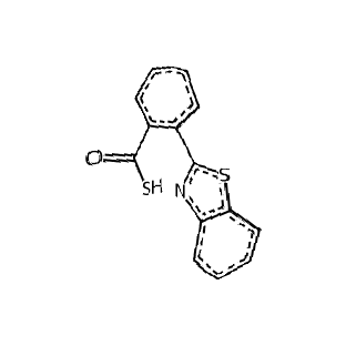 O=C(S)c1ccccc1-c1nc2ccccc2s1